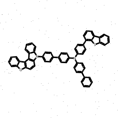 c1ccc(-c2ccc(N(c3ccc(-c4ccc(-n5c6ccccc6c6c7c(ccc65)oc5ccccc57)cc4)cc3)c3ccc(-c4cccc5c4sc4ccccc45)cc3)cc2)cc1